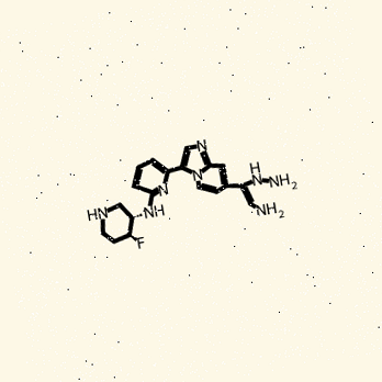 N/C=C(\NN)c1ccn2c(-c3cccc(N[C@H]4CNCC[C@@H]4F)n3)cnc2c1